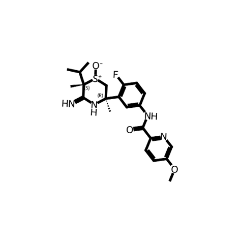 COc1ccc(C(=O)Nc2ccc(F)c([C@]3(C)C[S+]([O-])[C@@](C)(C(C)C)C(=N)N3)c2)nc1